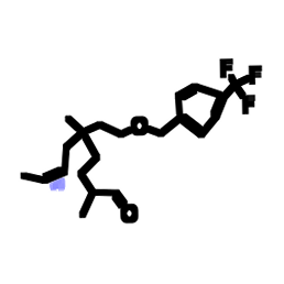 C/C=C\CC(C)(CCOCc1ccc(C(F)(F)F)cc1)CCC(C)C=O